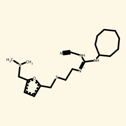 CN(C)Cc1ccc(CSCC/N=C(\NC#N)NC2CCCCCCC2)o1